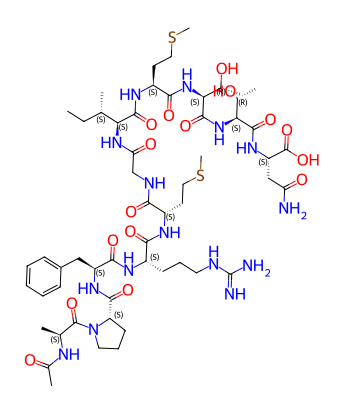 CC[C@H](C)[C@H](NC(=O)CNC(=O)[C@H](CCSC)NC(=O)[C@H](CCCNC(=N)N)NC(=O)[C@H](Cc1ccccc1)NC(=O)[C@@H]1CCCN1C(=O)[C@H](C)NC(C)=O)C(=O)N[C@@H](CCSC)C(=O)N[C@H](C(=O)N[C@H](C(=O)N[C@@H](CC(N)=O)C(=O)O)[C@@H](C)O)[C@@H](C)O